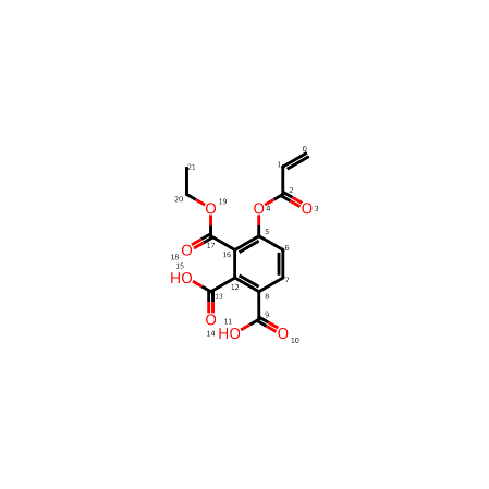 C=CC(=O)Oc1ccc(C(=O)O)c(C(=O)O)c1C(=O)OCC